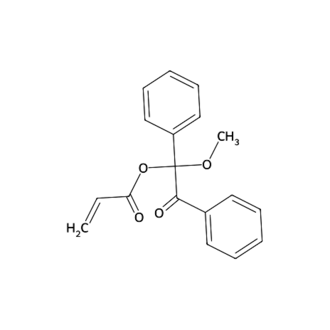 C=CC(=O)OC(OC)(C(=O)c1ccccc1)c1ccccc1